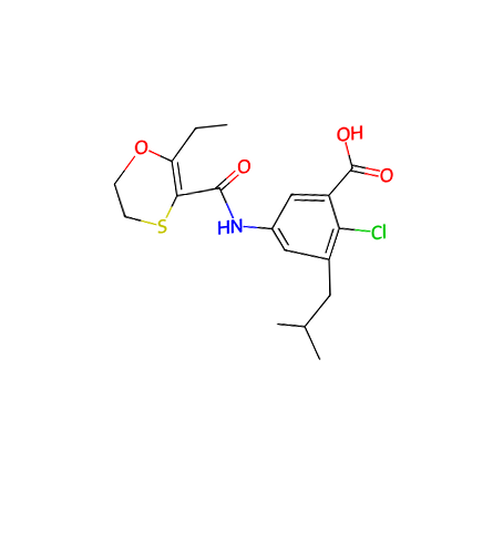 CCC1=C(C(=O)Nc2cc(CC(C)C)c(Cl)c(C(=O)O)c2)SCCO1